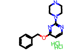 Cl.Cl.c1ccc(COc2ccnc(N3CCNCC3)n2)cc1